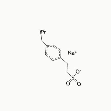 CC(C)Cc1ccc(CCS(=O)(=O)[O-])cc1.[Na+]